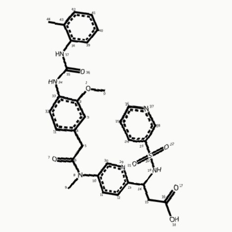 COc1cc(CC(=O)N(C)c2ccc(C(CC(=O)O)NS(=O)(=O)c3cccnc3)nc2)ccc1NC(=O)Nc1ccccc1C